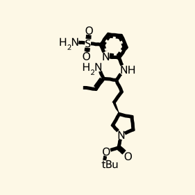 C/C=C(\N)C(CC[C@H]1CCN(C(=O)OC(C)(C)C)C1)Nc1cccc(S(N)(=O)=O)n1